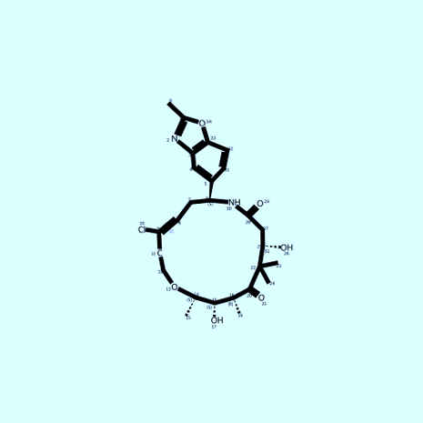 Cc1nc2cc([C@@H]3C/C=C(\Cl)CCO[C@@H](C)[C@@H](O)[C@@H](C)C(=O)C(C)(C)[C@@H](O)CC(=O)N3)ccc2o1